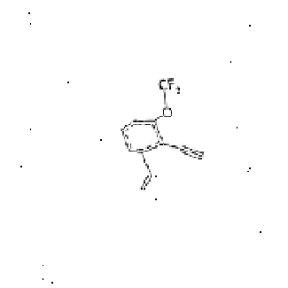 C#Cc1c([C]=C)cccc1OC(F)(F)F